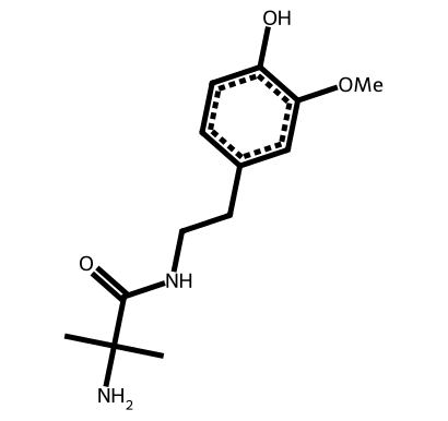 COc1cc(CCNC(=O)C(C)(C)N)ccc1O